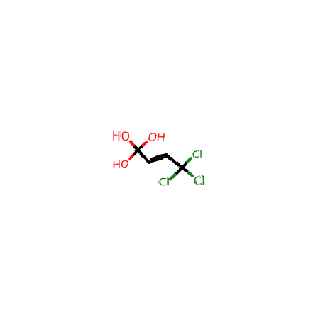 OC(O)(O)C=CC(Cl)(Cl)Cl